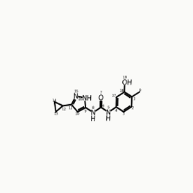 Cc1ccc(NC(=O)Nc2cc(C3CC3)n[nH]2)cc1O